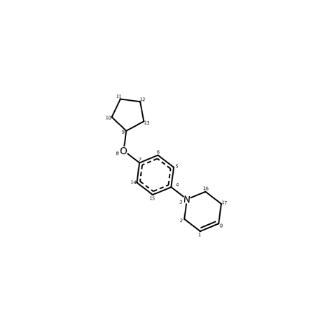 C1=CCN(c2ccc(OC3CCCC3)cc2)CC1